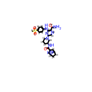 CS(=O)(=O)c1ccc(Nc2nc(N3CCCC(NC(=O)C4CC5CCC(C4)N5)C3)cnc2C(N)=O)cc1